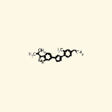 CCc1ccc(C2=CCC(c3ccc4c(c3)N=NC4C(C)C)=C2)c(C)c1